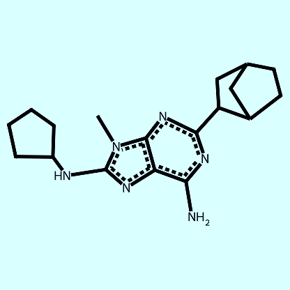 Cn1c(NC2CCCC2)nc2c(N)nc(C3CC4CCC3C4)nc21